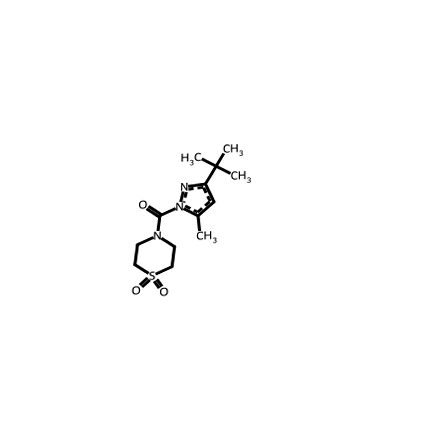 Cc1cc(C(C)(C)C)nn1C(=O)N1CCS(=O)(=O)CC1